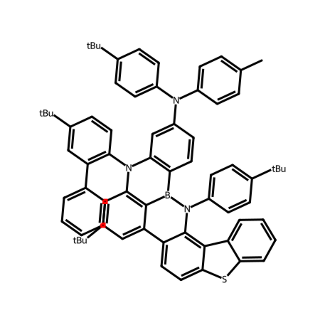 Cc1ccc(N(c2ccc(C(C)(C)C)cc2)c2ccc3c(c2)N(c2ccc(C(C)(C)C)cc2-c2ccccc2)c2cc(C(C)(C)C)cc4c2B3N(c2ccc(C(C)(C)C)cc2)c2c-4ccc3sc4ccccc4c23)cc1